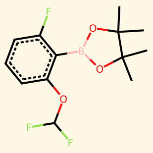 CC1(C)OB(c2c(F)cccc2OC(F)F)OC1(C)C